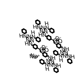 O=S(=O)([O-])c1cc(Nc2nc(Nc3ccccc3)nc(Nc3ccccc3)n2)ccc1C=Cc1ccc(Nc2nc(Nc3ccccc3)nc(Nc3ccccc3)n2)cc1.O=S(=O)([O-])c1cc(Nc2nc(Nc3ccccc3)nc(Nc3ccccc3)n2)ccc1C=Cc1ccc(Nc2nc(Nc3ccccc3)nc(Nc3ccccc3)n2)cc1.[Na+].[Na+]